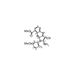 COC(=O)c1cccc2nc3c(C#N)c(N)n(-c4cc(OC)ccc4C)c3nc12